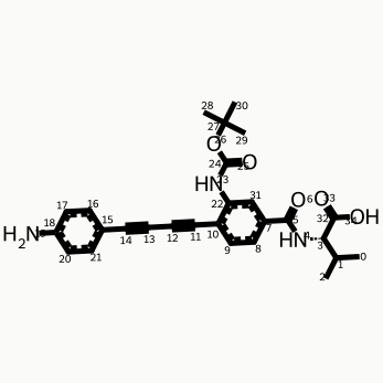 CC(C)[C@H](NC(=O)c1ccc(C#CC#Cc2ccc(N)cc2)c(NC(=O)OC(C)(C)C)c1)C(=O)O